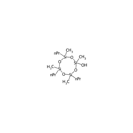 CCC[Si]1(C)O[Si](C)(O)O[Si](C)(CCC)O[Si](C)(CCC)O1